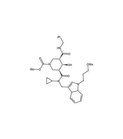 COCCCN1C=C(CN(C(=O)[C@H]2CN(C(=O)OC(C)(C)C)C[C@@H](C(=O)NCC(C)C)[C@H]2O)C2CC2)C2C=CC=CC21